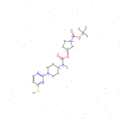 CSc1ccnc(N2CCC(N(C)C(=O)O[C@H]3CCN(C(=O)OC(C)(C)C)C3)CC2)n1